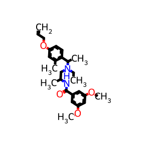 C=CCOc1ccc(C(C)N(CC)CC(C)NC(=O)c2cc(OC)cc(OC)c2)c(C)c1